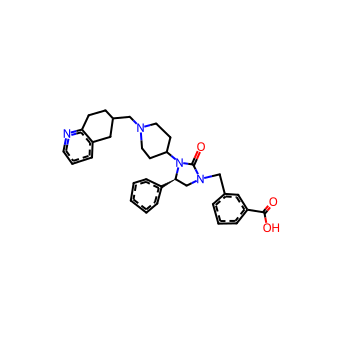 O=C(O)c1cccc(CN2C[C@@H](c3ccccc3)N(C3CCN(CC4CCc5ncccc5C4)CC3)C2=O)c1